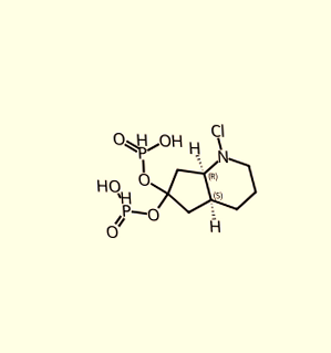 O=[PH](O)OC1(O[PH](=O)O)C[C@@H]2CCCN(Cl)[C@@H]2C1